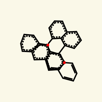 C1=CC2=Cc3ccccc3C(c3cccc4cccc(P(c5ccccc5)c5ccccc5)c34)C2C=C1